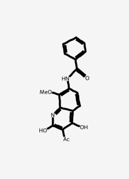 COc1c(NC(=O)c2ccccc2)ccc2c(O)c(C(C)=O)c(O)nc12